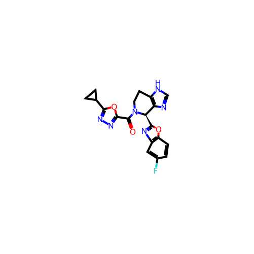 O=C(c1nnc(C2CC2)o1)N1CCc2[nH]cnc2[C@H]1c1nc2cc(F)ccc2o1